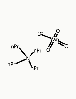 CCC[N+](CCC)(CCC)CCC.[O]=[Mn](=[O])(=[O])[O-]